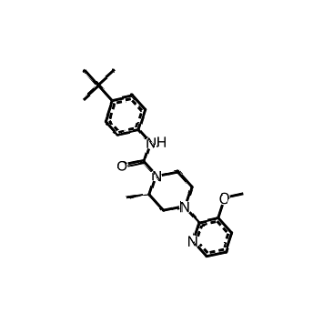 COc1cccnc1N1CCN(C(=O)Nc2ccc(C(C)(C)C)cc2)[C@H](C)C1